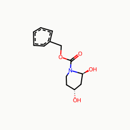 O=C(OCc1ccccc1)N1CC[C@@H](O)C[C@@H]1O